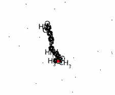 CN(C)C(=O)c1cc2cnc(Nc3ccc(CCN4CCN(c5ccc(C6CCC(=O)NC6=O)cc5)CC4)cc3)nc2n1C1CCCC1